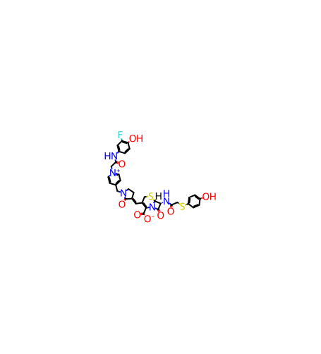 O=C(C[n+]1ccc(CN2CCC(=CC3=C(C(=O)[O-])N4C(=O)[C@@H](NC(=O)CSc5ccc(O)cc5)[C@H]4SC3)C2=O)cc1)Nc1ccc(O)c(F)c1